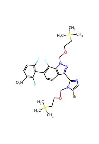 CS(C)(C)CCOCn1c(Br)cnc1-c1nn(COCCS(C)(C)C)c2c(F)c(-c3c(F)ccc([N+](=O)[O-])c3F)ccc12